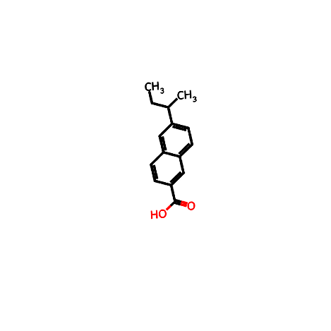 CCC(C)c1ccc2cc(C(=O)O)ccc2c1